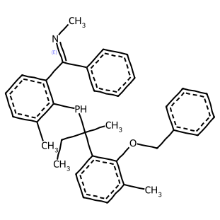 CCC(C)(Pc1c(C)cccc1/C(=N/C)c1ccccc1)c1cccc(C)c1OCc1ccccc1